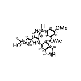 COc1cc(Nc2ncc(-c3cnn(C(C)O)c3)c(Nc3ccc4c(c3)CNCC4)n2)cc(OC)c1